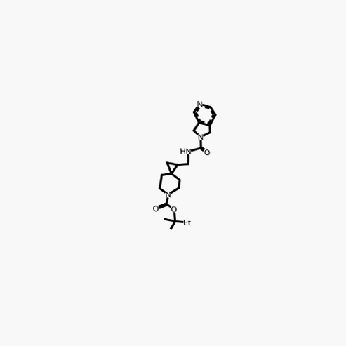 CCC(C)(C)OC(=O)N1CCC2(CC1)CC2CNC(=O)N1Cc2ccncc2C1